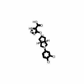 O=C(O)c1[nH]nnc1O[C@@H]1C[C@@H]2CN(c3ccc(Cl)c(Cl)c3)C[C@@H]2C1